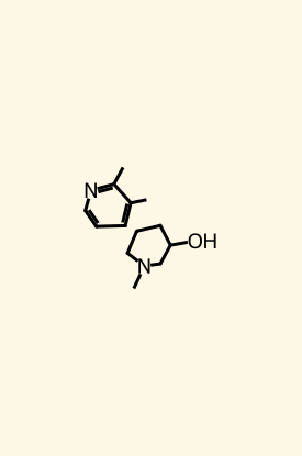 CN1CCCC(O)C1.Cc1cccnc1C